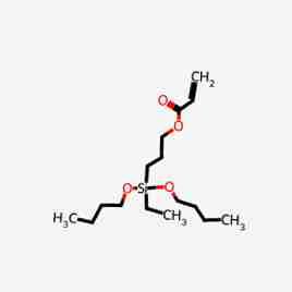 C=CC(=O)OCCC[Si](CC)(OCCCC)OCCCC